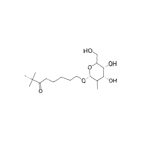 CC1[C@H](OCCCCCC(=O)C(C)(C)C)OC(CO)[C@H](O)[C@@H]1O